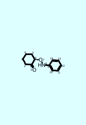 O=C1CCCC[C@H]1ONc1ccccc1